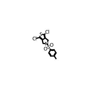 Cc1ccc(S(=O)(=O)N2Cc3c(Cl)sc(Cl)c3C2)cc1